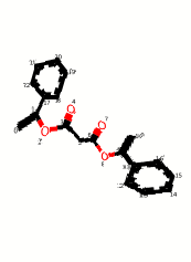 C=C(OC(=O)CC(=O)OC(=C)c1ccccc1)c1ccccc1